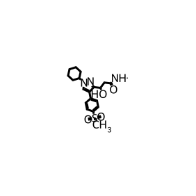 CS(=O)(=O)c1ccc(-c2cn(C3CCCCC3)nc2C(O)CC([NH])=O)cc1